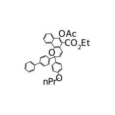 CCCOc1ccc(C2(c3ccc(-c4ccccc4)cc3)C=Cc3c(C(=O)OCC)c(OC(C)=O)c4ccccc4c3O2)cc1